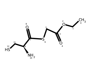 CCOC(=O)CSC(=O)[C@@H](N)CS